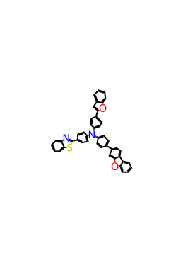 c1ccc2oc(-c3ccc(N(c4ccc(-c5ccc6c(c5)oc5ccccc56)cc4)c4ccc(-c5nc6ccccc6s5)cc4)cc3)cc2c1